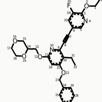 CCOc1ncc(C#Cc2nc(OCC3COCCO3)cc(OCc3ccccc3)c2CC)cc1F